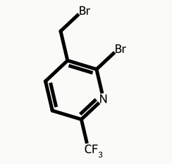 FC(F)(F)c1ccc(CBr)c(Br)n1